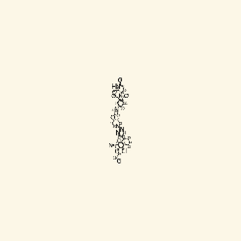 N#Cc1cc2c(c(Cl)c1OCCCl)CCCC2c1cnc(N2CCC(OC3CN(c4ccc5c(c4)C(=O)N(C4CCC(=O)NC4=O)C5=O)C3)CC2)nc1